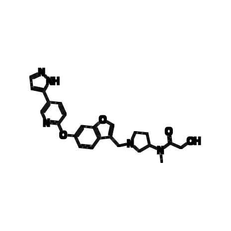 CN(C(=O)CO)C1CCN(Cc2coc3cc(Oc4ccc(-c5ccn[nH]5)cn4)ccc23)C1